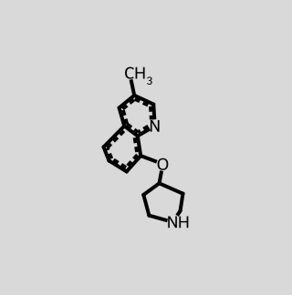 Cc1cnc2c(OC3CCNCC3)cccc2c1